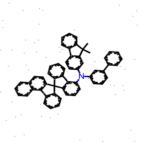 CC1(C)c2ccccc2-c2ccc(N(c3cccc(-c4ccccc4)c3)c3cccc4c3-c3ccccc3C43c4ccccc4-c4c3ccc3ccccc43)cc21